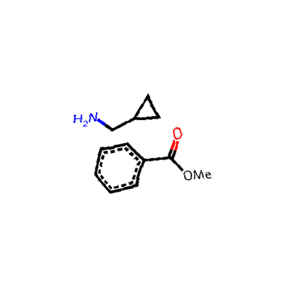 COC(=O)c1ccccc1.NCC1CC1